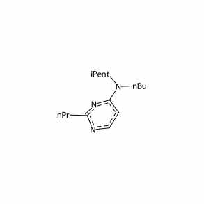 CCCCN(c1ccnc(CCC)n1)C(C)CCC